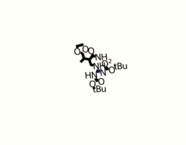 CC(C1OCCO1)C(CN/C(=N\C(=O)OC(C)(C)C)NC(=O)OC(C)(C)C)C(N)=O